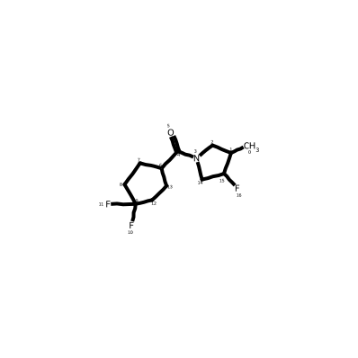 CC1CN(C(=O)C2CCC(F)(F)CC2)CC1F